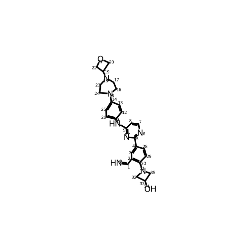 N=Cc1cc(-c2nccc(Nc3ccc(N4CCN(C5COC5)CC4)cc3)n2)ccc1N1CC(O)C1